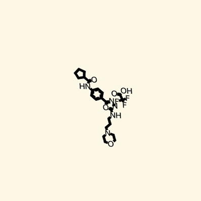 O=C(Nc1ccc(-c2nnc(NCCCN3CCOCC3)o2)cc1)C1CCCC1.O=C(O)C(F)(F)F